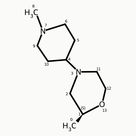 C[C@H]1CN(C2CCN(C)CC2)CCO1